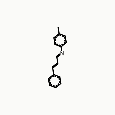 Cc1ccc(N=CC=Cc2ccccc2)cc1